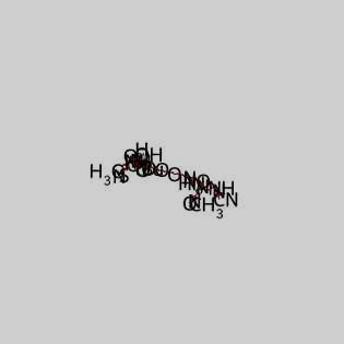 Cc1ncsc1-c1ccc(CNC(=O)[C@@H]2C[C@@H](O)CN2C(=O)[C@@H](NC(=O)COCCCCOCCCCOCCCCCn2cc(CNC(=O)N(c3ccc(-c4ccc(=O)n(C)c4)cc3)C3CCC(Nc4ccc(C#N)cn4)CC3)cn2)C(C)(C)C)cc1